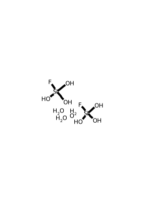 O.O.O.O[Si](O)(O)F.O[Si](O)(O)F